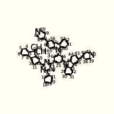 CC1(C)c2ccccc2-c2ccc(-c3nc(-c4ccccc4)nc(-c4cc(-n5c6ccccc6c6cc(-c7ccncc7)ccc65)cc(-n5c6ccccc6c6cc(-c7ccncc7)ccc65)c4)n3)cc21